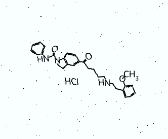 COc1ccccc1CCNCCCCC(=O)c1ccc2c(c1)CCN2C(=O)Nc1ccccc1.Cl